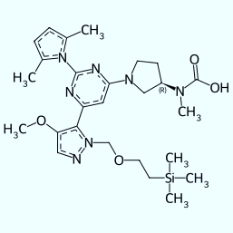 COc1cnn(COCC[Si](C)(C)C)c1-c1cc(N2CC[C@@H](N(C)C(=O)O)C2)nc(-n2c(C)ccc2C)n1